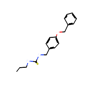 CCCNC(=S)NCc1ccc(OCc2ccccc2)cc1